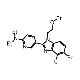 CCOCCn1c(-c2ccc(N(CC)CC)nc2)nc2c(Cl)c(Br)ccc21